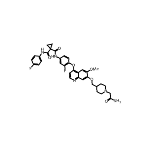 COc1cc2c(Oc3ccc(NC(=O)C4(C(=O)Nc5ccc(F)cc5)CC4)cc3F)ccnc2cc1OCC1CCN(CC(N)=O)CC1